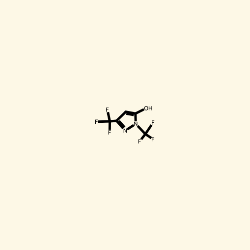 Oc1cc(C(F)(F)F)nn1C(F)(F)F